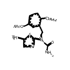 COc1ccc(OC)c(CN(C(N)=O)c2ncc(C(C)C)s2)c1